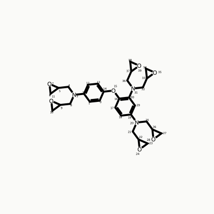 c1cc(N(CC2CO2)CC2CO2)ccc1Oc1ccc(N(CC2CO2)CC2CO2)cc1N(CC1CO1)CC1CO1